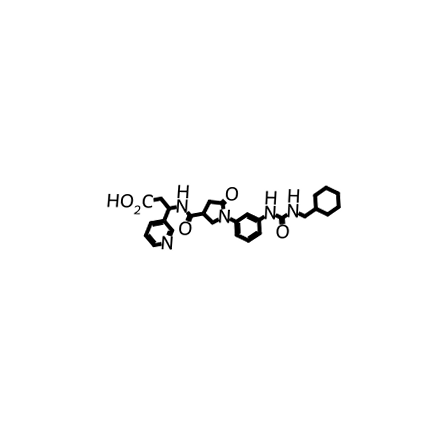 O=C(O)CC(NC(=O)C1CC(=O)N(c2cccc(NC(=O)NCC3CCCCC3)c2)C1)c1cccnc1